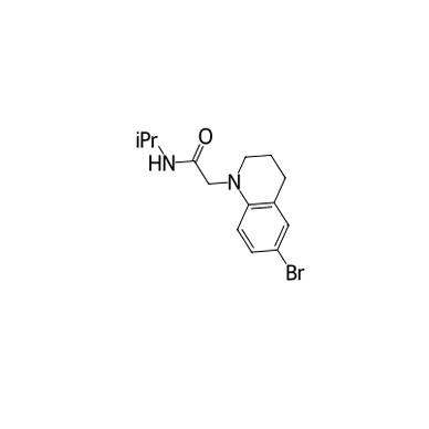 CC(C)NC(=O)CN1CCCc2cc(Br)ccc21